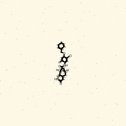 O=C(Nc1cc(Cl)c(OCc2ccccc2)cc1F)N1[C@H]2CC[C@@H]1c1n[nH]c(=O)cc1C2